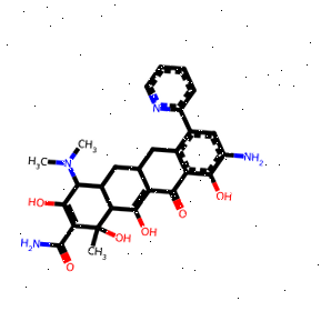 CN(C)C1C(O)=C(C(N)=O)C(C)(O)C2C(O)=C3C(=O)c4c(O)c(N)cc(-c5ccccn5)c4CC3CC12